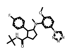 COc1ccc(-n2cnnn2)cc1N(C)C1CCC(C(=O)NC(C)(C)C)C1c1ccc(F)cc1